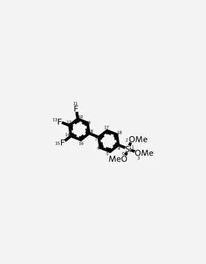 CO[Si](OC)(OC)c1ccc(-c2cc(F)c(F)c(F)c2)cc1